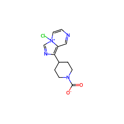 O=C([O-])N1CCC(C2=C3C=NC=C[N+]3(Cl)C=N2)CC1